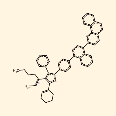 C/C=C(\CCCC)c1c(C2=CCCCC2)sc(-c2ccc(-c3ccc(-c4ccc5ccc6cccnc6c5n4)c4ccccc34)cc2)c1-c1ccccc1